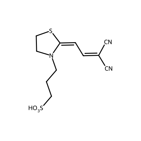 N#CC(C#N)=CC=C1SCCN1CCCS(=O)(=O)O